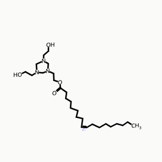 CCCCCCCC/C=C\CCCCCCCC(=O)OCCN1CN(CCO)CN(CCO)C1